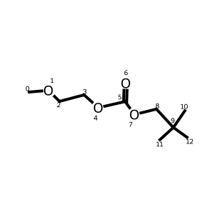 COCCOC(=O)OCC(C)(C)C